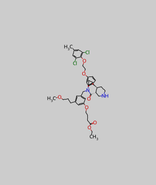 CCOC(=O)CCCOc1cc(CCCOC)cc(CN(C(=O)[C@H]2CNCC[C@@H]2c2ccc(OCCOc3c(Cl)cc(C)cc3Cl)cc2)C2CC2)c1